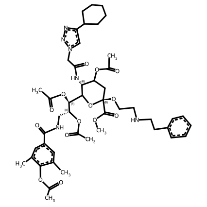 COC(=O)[C@@]1(OCCNCCc2ccccc2)CC(OC(C)=O)[C@@H](NC(=O)Cn2cc(C3CCCCC3)nn2)C([C@H](OC(C)=O)[C@@H](CNC(=O)c2cc(C)c(OC(C)=O)c(C)c2)OC(C)=O)O1